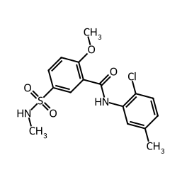 CNS(=O)(=O)c1ccc(OC)c(C(=O)Nc2cc(C)ccc2Cl)c1